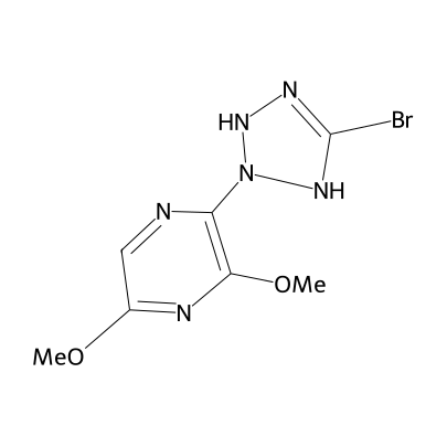 COc1cnc(N2NN=C(Br)N2)c(OC)n1